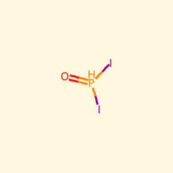 O=[PH](I)I